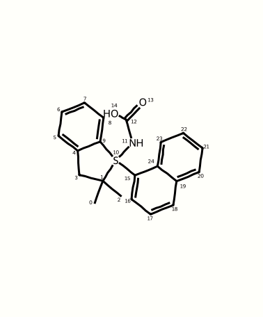 CC1(C)Cc2ccccc2S1(NC(=O)O)c1cccc2ccccc12